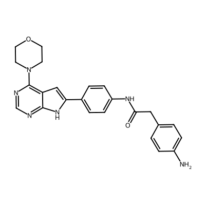 Nc1ccc(CC(=O)Nc2ccc(-c3cc4c(N5CCOCC5)ncnc4[nH]3)cc2)cc1